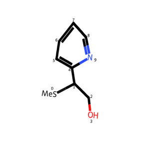 CSC(CO)c1ccccn1